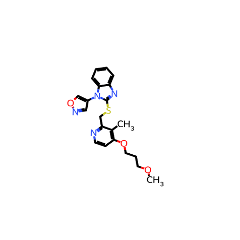 COCCCOc1ccnc(CSc2nc3ccccc3n2-c2cnoc2)c1C